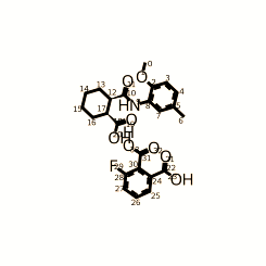 COc1ccc(C)cc1NC(=O)[C@@H]1CCCC[C@@H]1C(=O)O.O=C(O)c1cccc(F)c1C(=O)O